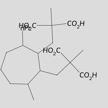 CCCC1CCCC(C)C(CC(C)(C(=O)O)C(=O)O)C1CC(C)(C(=O)O)C(=O)O